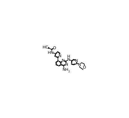 C#CC(=O)Nc1ccnc(-c2cccc3c(N)nc(Nc4ccc(N5CCOCC5)nc4)nc23)c1